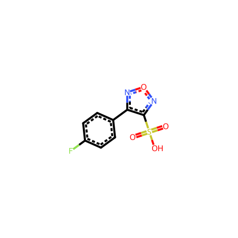 O=S(=O)(O)c1nonc1-c1ccc(F)cc1